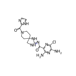 Nc1nc(N)c(C(=O)/N=C2\NCC3(CCN(C(=O)c4ncc[nH]4)CC3)N2)nc1Cl